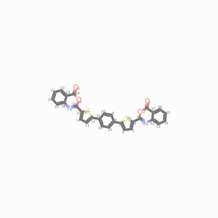 O=c1oc(-c2ccc(-c3ccc(-c4ccc(-c5nc6ccccc6c(=O)o5)s4)cc3)s2)nc2ccccc12